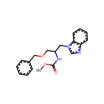 CC(C)(C)OC(=O)NC(COCc1ccccc1)Cn1cnc2ccccc21